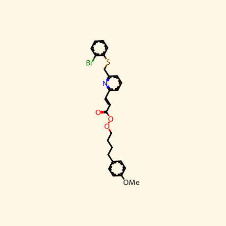 COc1ccc(CCCCOOC(=O)C=Cc2cccc(CSc3ccccc3Br)n2)cc1